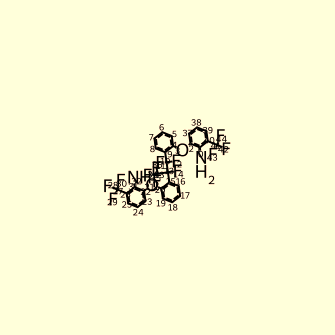 Nc1c(Oc2ccccc2C(F)(F)C(F)(c2ccccc2Oc2cccc(C(F)(F)F)c2N)C(F)(F)F)cccc1C(F)(F)F